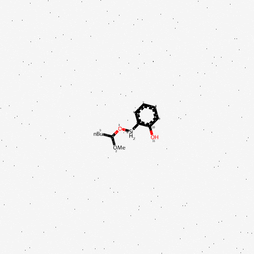 CCCCC(OC)O[SiH2]c1ccccc1O